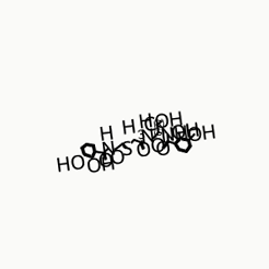 C[C@@H](O)[C@H](NC(=O)c1cccc(O)c1O)C(=O)NC(=O)CSCC(=O)NC(=O)c1cccc(O)c1O